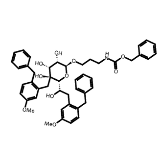 COc1ccc(Cc2ccccc2)c(CC(O)[C@H]2O[C@H](OCCCNC(=O)OCc3ccccc3)[C@@H](O)[C@@H](O)[C@@]2(O)Cc2cc(OC)ccc2Cc2ccccc2)c1